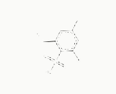 Cc1cc(C)c(S(=O)(=O)O)c(C)c1.[Ni]